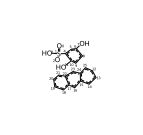 O=S(=O)(O)c1cc(O)ccc1O.c1ccc2cc3ccccc3cc2c1